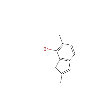 CC1=Cc2ccc(C)c(Br)c2C1